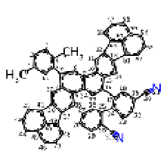 Cc1ccc(C)c(-c2cc3c4cc5c(cc4c(-c4cc(C#N)ccc4-c4ccccc4C#N)cc3c3cc4c(cc23)-c2cccc3cccc-4c23)-c2cccc3cccc-5c23)c1